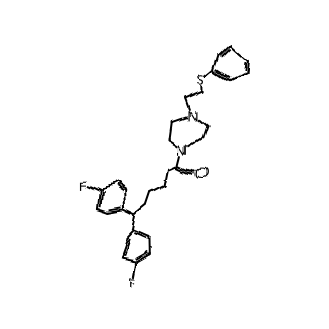 O=C(CCCCC(c1ccc(F)cc1)c1ccc(F)cc1)N1CCN(CCSc2ccccc2)CC1